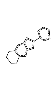 c1ccc(-c2cn3cc4c(cc3n2)CCCC4)cc1